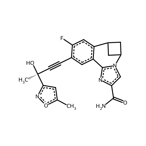 Cc1cc([C@@](C)(O)C#Cc2cc3c(cc2F)C2CC(C2)n2cc(C(N)=O)nc2-3)no1